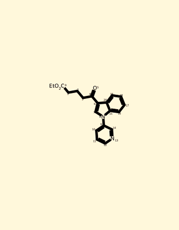 CCOC(=O)CCCC(=O)c1cn(-c2cccnc2)c2ccccc12